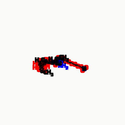 COc1cccc2c1C(=O)c1c(O)c3c(c(O)c1C2=O)C[C@@](O)(C(=O)CO)C[C@@H]3O[C@H]1C[C@H](NC(=O)OCc2ccc(NC(=O)[C@@H](CC(N)=O)NC(=O)[C@@H](C)NC(=O)[C@@H](C)NC(=O)CCOCCOCCOCCOCCOCCOCCN3C(=O)C=CC3=O)cc2)[C@H](O)[C@H](C)O1